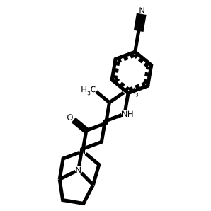 CC(C)CC(=O)N1CC2CCC(C1)N2CCCNc1ccc(C#N)cc1